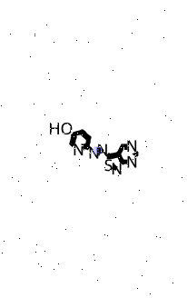 Oc1ccc(/N=N/c2snc3ncncc23)nc1